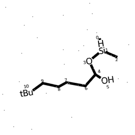 C[SiH](C)OC(O)CCCCC(C)(C)C